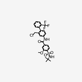 COc1cc(C(=O)Nc2ccc(-c3ccccc3C(F)(F)F)c(CCl)c2)ccc1S(=O)(=O)NC(C)(C)C